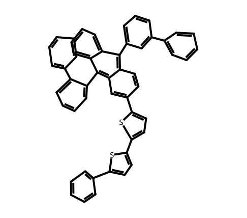 c1ccc(-c2cccc(-c3c4ccccc4c(-c4ccccc4-c4ccccc4)c4cc(-c5ccc(-c6ccc(-c7ccccc7)s6)s5)ccc34)c2)cc1